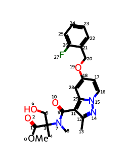 COC(=O)C(C)(CO)N(C)C(=O)c1c(C)nn2ccc(OCc3ccccc3F)cc12